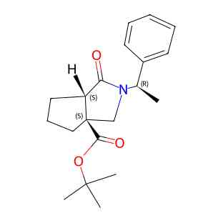 C[C@H](c1ccccc1)N1C[C@]2(C(=O)OC(C)(C)C)CCC[C@@H]2C1=O